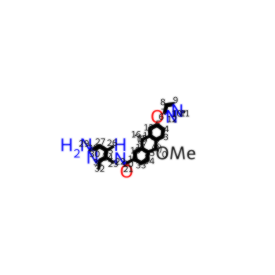 CO[C@H]1c2ccc(Oc3ccn(C)n3)cc2[C@@H](C)c2cc(C(=O)NCc3c(C)cc(N)nc3C)ccc21